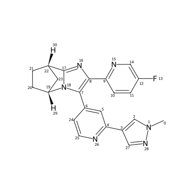 Cn1cc(-c2cc(-c3c(-c4ccc(F)cn4)nc4n3[C@@H]3CC[C@H]4C3)ccn2)cn1